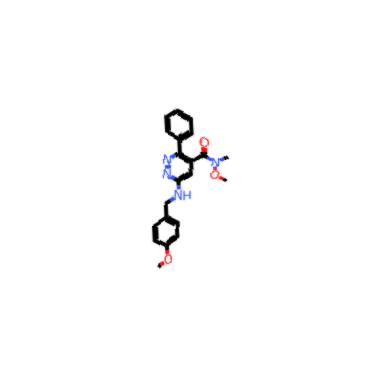 COc1ccc(CNc2cc(C(=O)N(C)OC)c(-c3ccccc3)nn2)cc1